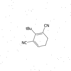 CC(C)(C)C1=C(C#N)CCC=C1C#N